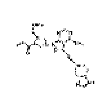 C=CC(=O)N1C[C@@H](n2nc(C#Cc3ccc4[nH]cnc4c3)c3c(N)ncnc32)C[C@@H]1COC